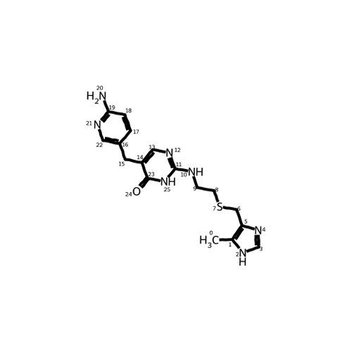 Cc1[nH]cnc1CSCCNc1ncc(Cc2ccc(N)nc2)c(=O)[nH]1